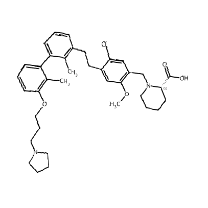 COc1cc(CCc2cccc(-c3cccc(OCCCN4CCCC4)c3C)c2C)c(Cl)cc1CN1CCCC[C@H]1C(=O)O